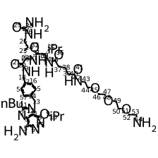 CCCCc1nc2c(N)nnc(OC(C)C)c2n1Cc1ccc(CNC(=O)[C@H](CCCNC(N)=O)NC(=O)[C@@H](NC(=O)CCCC(=O)NCCOCCOCCOCCN)C(C)C)cc1